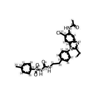 CCc1nc2cc(NC(C)=O)c(Cl)cc2n1-c1ccc(CCNC(=O)NS(=O)(=O)c2ccc(C)cc2)cc1